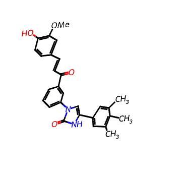 COc1cc(/C=C/C(=O)c2cccc(-n3cc(-c4cc(C)c(C)c(C)c4)[nH]c3=O)c2)ccc1O